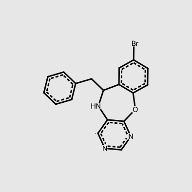 Brc1ccc2c(c1)C(Cc1ccccc1)Nc1[c]ncnc1O2